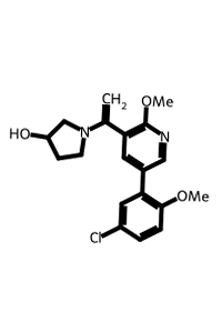 C=C(c1cc(-c2cc(Cl)ccc2OC)cnc1OC)N1CCC(O)C1